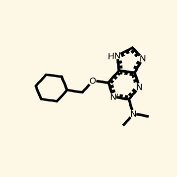 CN(C)c1nc(OCC2CCCCC2)c2[nH]cnc2n1